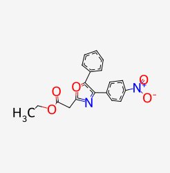 CCOC(=O)Cc1nc(-c2ccc([N+](=O)[O-])cc2)c(-c2ccccc2)o1